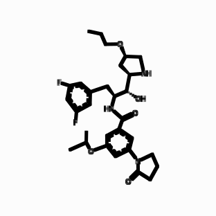 CCCO[C@H]1CN[C@@H]([C@H](O)[C@H](Cc2cc(F)cc(F)c2)NC(=O)c2cc(OC(C)C)cc(N3CCCC3=O)c2)C1